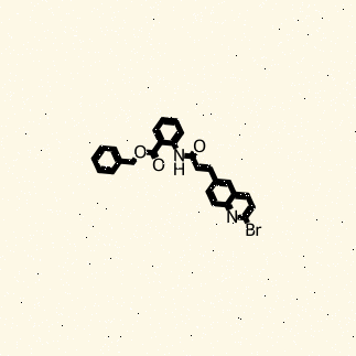 O=C(/C=C/c1ccc2nc(Br)ccc2c1)Nc1ccccc1C(=O)OCc1ccccc1